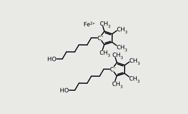 Cc1c(C)c(C)[c-](CCCCCCO)c1C.Cc1c(C)c(C)[c-](CCCCCCO)c1C.[Fe+2]